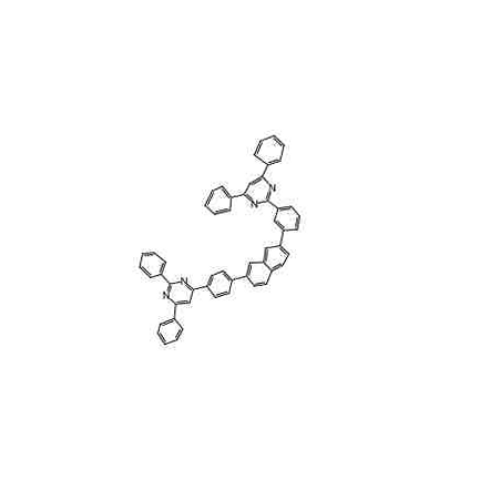 c1ccc(-c2cc(-c3ccc(-c4ccc5ccc(-c6cccc(-c7nc(-c8ccccc8)cc(-c8ccccc8)n7)c6)cc5c4)cc3)nc(-c3ccccc3)n2)cc1